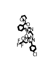 O=C(c1ccccc1-n1cnc(Cn2nc(-c3ccc(Cl)cc3)n(C[C@H](O)C(F)(F)F)c2=O)n1)N1CCCO1